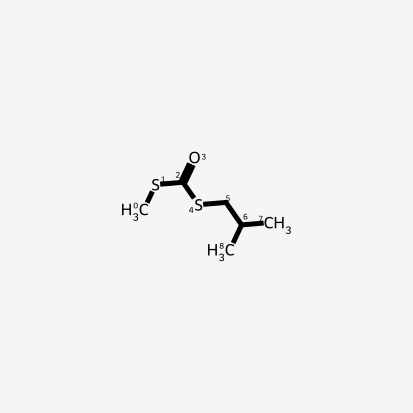 CSC(=O)SCC(C)C